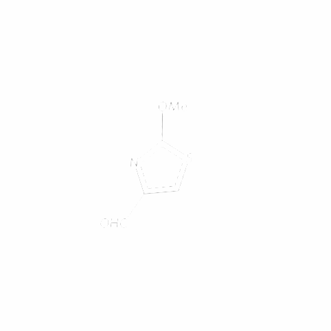 COc1nc(C=O)cs1